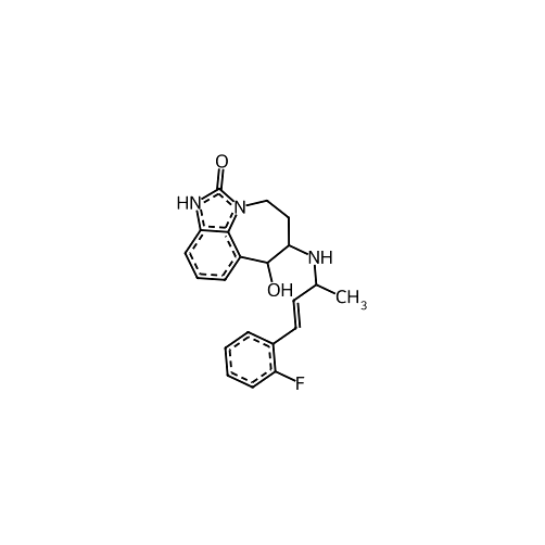 CC(C=Cc1ccccc1F)NC1CCn2c(=O)[nH]c3cccc(c32)C1O